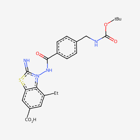 CCc1cc(C(=O)O)cc2sc(=N)n(NC(=O)c3ccc(CNC(=O)OC(C)(C)C)cc3)c12